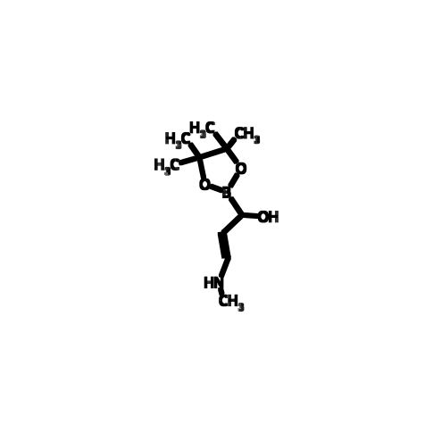 CN/C=C/C(O)B1OC(C)(C)C(C)(C)O1